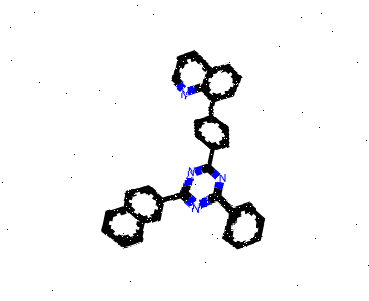 c1ccc(-c2nc(-c3ccc(-c4cccc5cccnc45)cc3)nc(-c3ccc4ccccc4c3)n2)cc1